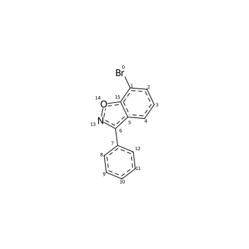 Brc1cccc2c(-c3ccccc3)noc12